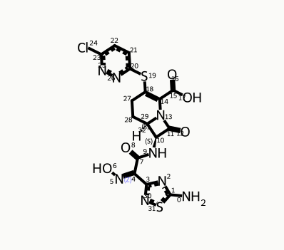 Nc1nc(/C(=N/O)C(=O)N[C@@H]2C(=O)N3C(C(=O)O)=C(Sc4ccc(Cl)nn4)CC[C@H]23)ns1